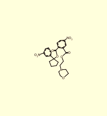 O=C(OCCN1CCOCC1)c1cc([N+](=O)[O-])ccc1C(=O)OC1(c2cccc([N+](=O)[O-])c2)CCCC1